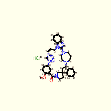 C=CCn1c(N2CCCN(CCC3(c4ccccc4)CCN(C(=O)c4cc(-n5cnnn5)ccc4OC)C3)CC2)nc2ccccc21.Cl